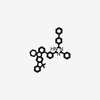 CC1(C)c2ccccc2-c2cc3c(cc21)-c1c(-c2cccc(C4=NC(c5ccccc5)=NC(c5ccc(-c6ccccc6)cc5)N4)c2)cccc1C31CCCCC1